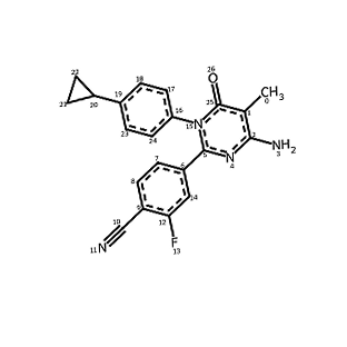 Cc1c(N)nc(-c2ccc(C#N)c(F)c2)n(-c2ccc(C3CC3)cc2)c1=O